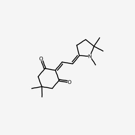 CN1/C(=C/C=C2C(=O)CC(C)(C)CC2=O)CCC1(C)C